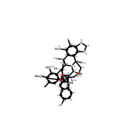 COc1c(C)cc2c(c1O)[C@H]1C3[C@@H]4SC[C@]5(NC(C)Cc6c5[nH]c5ccc(F)cc65)C(=O)COC[C@@H](c5c6c(c(C)c(OC(C)=O)c54)OCO6)N3[C@@H](C#N)[C@@H](C2)N1C